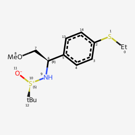 CCSc1ccc([C@H](COC)N[S@+]([O-])C(C)(C)C)cc1